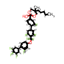 CCCCCC1(C)COC(O)(c2ccc(-c3cc(F)c(C(F)(F)Oc4ccc(-c5cc(F)c(F)c(F)c5)c(F)c4)c(F)c3)c(F)c2)OC1